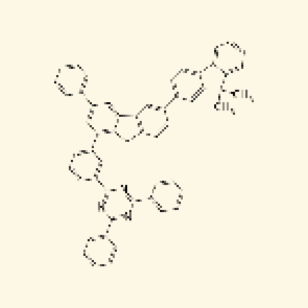 CC1(C)c2ccccc2-c2ccc(-c3ccc4c(c3)-c3cc(-c5ccccc5)cc(-c5cccc(-c6nc(-c7ccccc7)nc(-c7ccccc7)n6)c5)c3C4)cc21